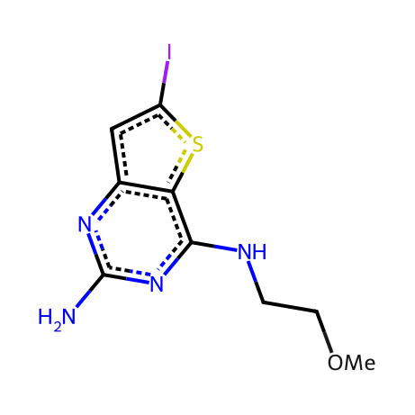 COCCNc1nc(N)nc2cc(I)sc12